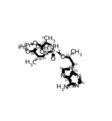 CC(C)OC(=O)[C@H](C)N[P@](=O)(CO[C@H](C)Cn1cnc2c(N)ncnc21)NC[C@H](C)C(=O)OC(C)C